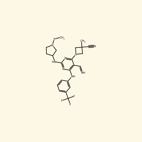 CSN1CCC(Nc2nc(Nc3cccc(C(F)(F)F)c3)c(C=N)c(N3CC(C)(C#N)C3)n2)C1